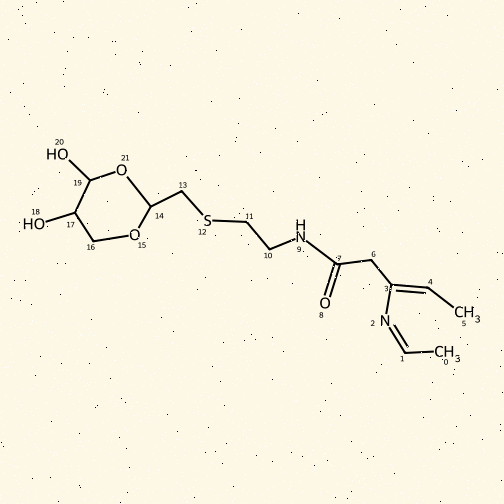 C/C=N\C(=C/C)CC(=O)NCCSCC1OCC(O)C(O)O1